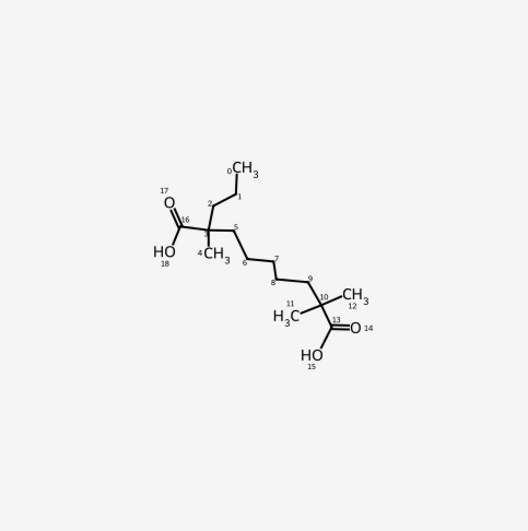 CCCC(C)(CCCCCC(C)(C)C(=O)O)C(=O)O